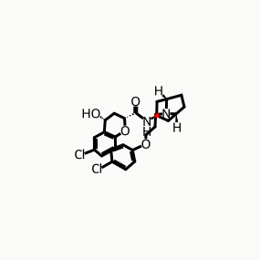 O=C(N[C@@H]1C[C@H]2CC[C@@H](C1)N2CCCOc1ccc(Cl)cc1)[C@H]1C[C@@H](O)c2cc(Cl)ccc2O1